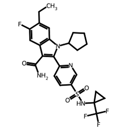 CCc1cc2c(cc1F)c(C(N)=O)c(-c1ccc(S(=O)(=O)NC3(C(F)(F)F)CC3)cn1)n2C1CCCC1